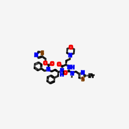 CC(C)c1nc(CN(C)C(=O)N[C@H](CCN2CCOCC2)C(=O)N[C@H](CCN(Cc2ccccc2)C(=O)OCc2cncs2)Cc2ccccc2)cs1